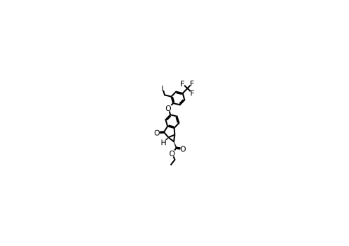 CCOC(=O)[C@@H]1C2c3ccc(Oc4ccc(C(F)(F)F)cc4CI)cc3C(=O)[C@H]21